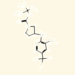 CC(C)(C)OC(=O)N1CCC(Nc2ncc(C(F)(F)F)cc2N)C1